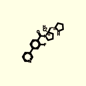 C[C@]1(C[C@@H]2CCCN2)CCCN1C(=O)c1ccc(-c2cccnc2)cc1F